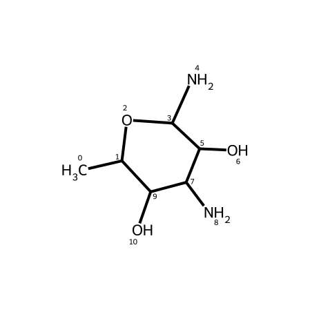 CC1OC(N)C(O)C(N)C1O